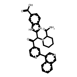 NC(=O)C1C[CH]CCN1C(C(=O)c1ccnc(-c2cncc3ccccc23)c1)c1nc2ccc(C(=O)O)cc2[nH]1